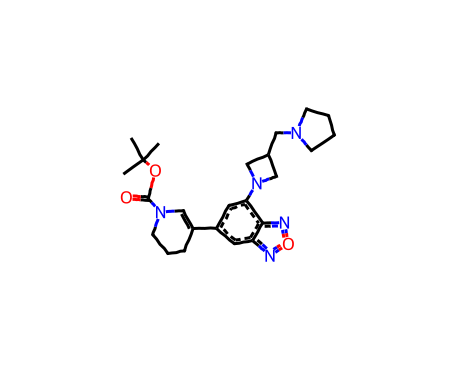 CC(C)(C)OC(=O)N1C=C(c2cc(N3CC(CN4CCCC4)C3)c3nonc3c2)CCC1